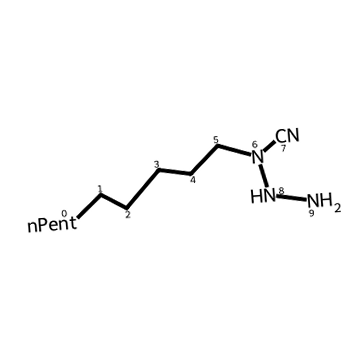 CCCCCCCCCCN(C#N)NN